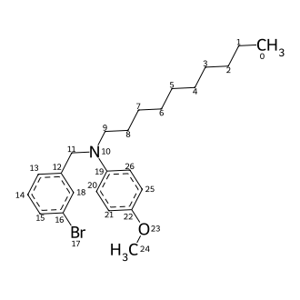 CCCCCCCCCCN(Cc1cccc(Br)c1)c1ccc(OC)cc1